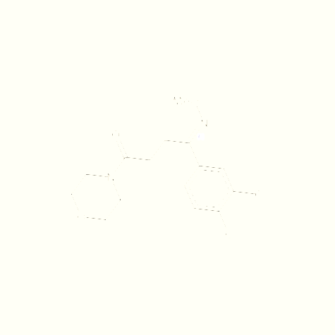 CO/N=C(\CCC(=O)N1CCOCC1)c1ccc(Cl)c(Cl)c1